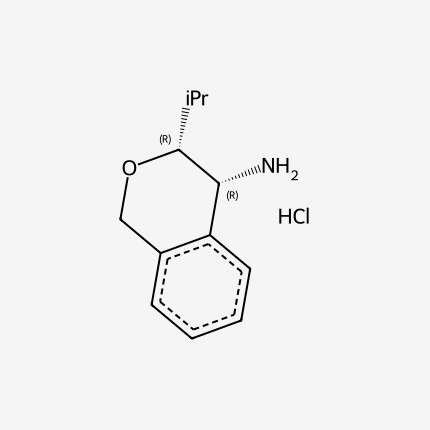 CC(C)[C@H]1OCc2ccccc2[C@H]1N.Cl